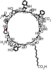 CCCC[C@H]1C(=O)N(C)[C@@H](CCCC)C(=O)N[C@@H](CC(C)C)C(=O)N[C@H](C(=O)NCCCCCCCCCCC(=O)O)CSCC(=O)N[C@@H](Cc2ccc(O)cc2)C(=O)N(C)[C@@H](C)C(=O)N[C@@H](CC(N)=O)C(=O)N2CCC[C@H]2C(=O)N[C@@H](CO)C(=O)N[C@@H](CCC(N)=O)C(=O)N2C[C@H](O)C[C@H]2C(=O)N[C@@H](Cc2c[nH]c3ccccc23)C(=O)N[C@@H](CO)C(=O)N[C@@H](Cc2cn(CC(=O)O)c3ccccc23)C(=O)N1C